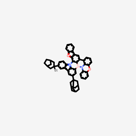 CCC1(c2ccc3c(c2)c2cc(C45CC6CC(CC(C6)C4)C5)cc4c2n3-c2c3c(cc5c2oc2ccccc25)-c2cccc5c2N(B34)c2ccccc2O5)CC2CCC(C2)C1